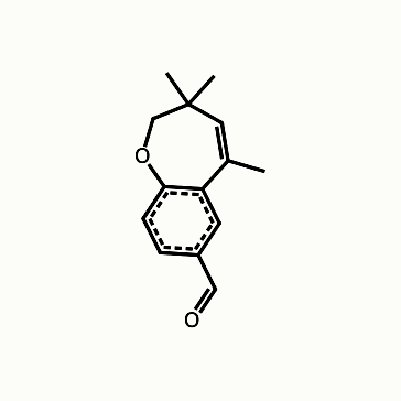 CC1=CC(C)(C)COc2ccc(C=O)cc21